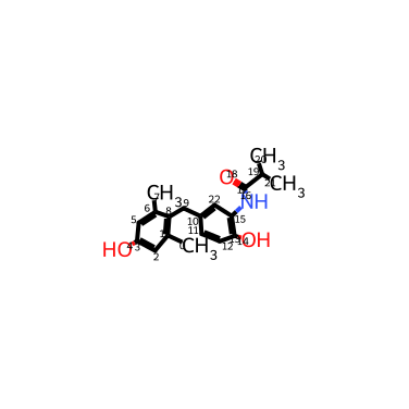 Cc1cc(O)cc(C)c1Cc1ccc(O)c(NC(=O)C(C)C)c1